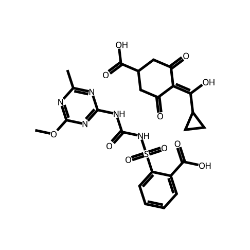 COc1nc(C)nc(NC(=O)NS(=O)(=O)c2ccccc2C(=O)O)n1.O=C1CC(C(=O)O)CC(=O)C1=C(O)C1CC1